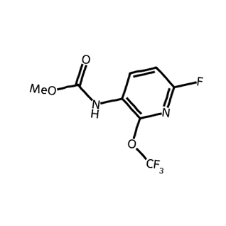 COC(=O)Nc1ccc(F)nc1OC(F)(F)F